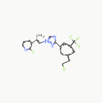 C/C(=C\n1cnc(-c2cc(CCF)cc(C(F)(F)F)c2)n1)c1cccnc1F